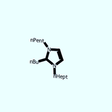 CCCCCCCN1C=CN(CCCCC)C1CCCC